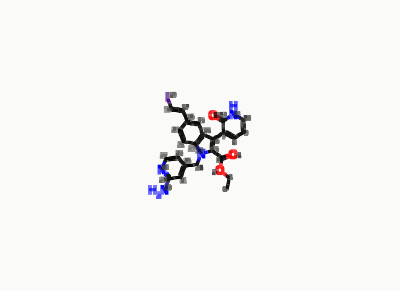 CCOC(=O)c1c(-c2ccc[nH]c2=O)c2cc(/C=C/I)ccc2n1Cc1ccnc(N)c1